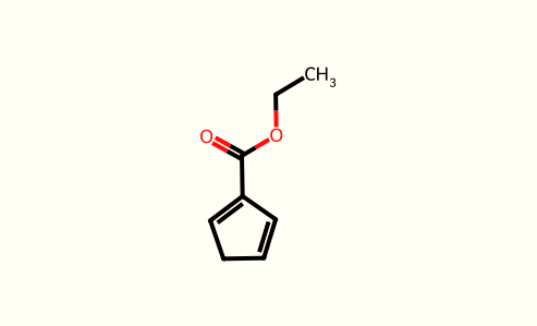 CCOC(=O)C1=CCC=C1